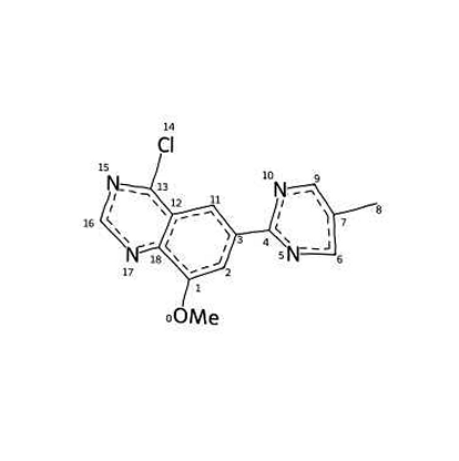 COc1cc(-c2ncc(C)cn2)cc2c(Cl)ncnc12